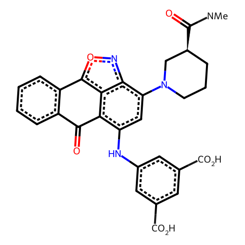 CNC(=O)[C@H]1CCCN(c2cc(Nc3cc(C(=O)O)cc(C(=O)O)c3)c3c4c(onc24)-c2ccccc2C3=O)C1